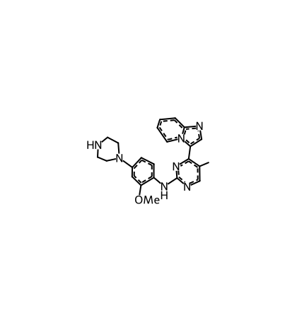 COc1cc(N2CCNCC2)ccc1Nc1ncc(C)c(-c2cnc3ccccn23)n1